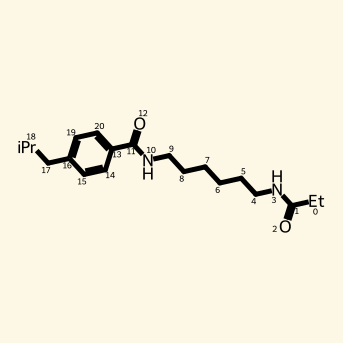 CCC(=O)NCCCCCCNC(=O)c1ccc(CC(C)C)cc1